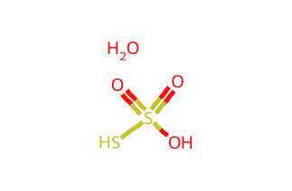 O.O=S(=O)(O)S